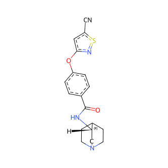 N#Cc1cc(Oc2ccc(C(=O)N[C@H]3CN4CCC3CC4)cc2)ns1